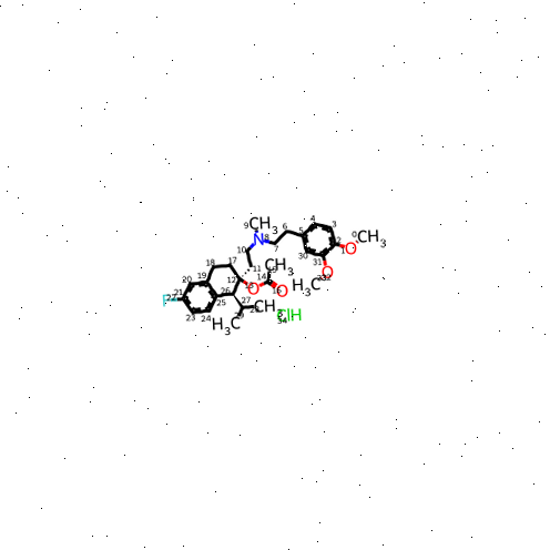 COc1ccc(CCN(C)CC[C@@]2(OC(C)=O)CCc3cc(F)ccc3[C@@H]2C(C)C)cc1OC.Cl